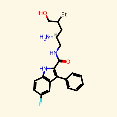 CCC(CO)C[C@@H](N)CNC(=O)c1[nH]c2ccc(F)cc2c1-c1ccccc1